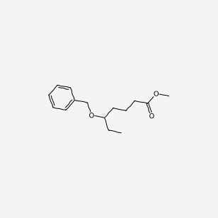 CCC(CCCC(=O)OC)OCc1ccccc1